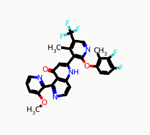 COc1cccnc1-c1nccc2[nH]c(-c3c(Oc4ccc(F)c(F)c4C)ncc(C(F)(F)F)c3C)cc(=O)c12